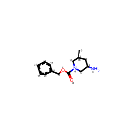 C[C@H]1CC(N)CN(C(=O)OCc2ccccc2)C1